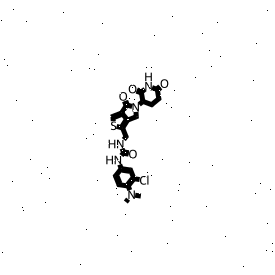 CN(C)c1ccc(NC(=O)NCc2scc3c2CN(C2CCC(=O)NC2=O)C3=O)cc1Cl